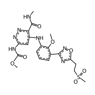 CNC(=O)c1nnc(NC(=O)OC)cc1Nc1cccc(-c2noc(CCS(C)(=O)=O)n2)c1OC